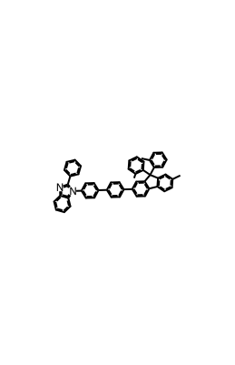 Cc1ccc2c(c1)C(c1ccccc1C)(c1ccccc1C)c1cc(-c3ccc(-c4ccc(-n5c(-c6ccccc6)nc6ccccc65)cc4)cc3)ccc1-2